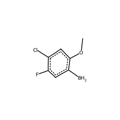 Bc1cc(F)c(Cl)cc1OC